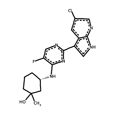 CC1(O)CCC[C@H](Nc2nc(-c3c[nH]c4ncc(Cl)cc34)ncc2F)C1